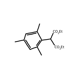 CCOC(=O)C(C(=O)OCC)c1c(C)cc(C)cc1C